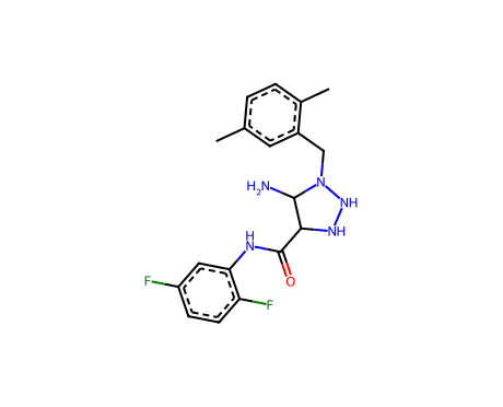 Cc1ccc(C)c(CN2NNC(C(=O)Nc3cc(F)ccc3F)C2N)c1